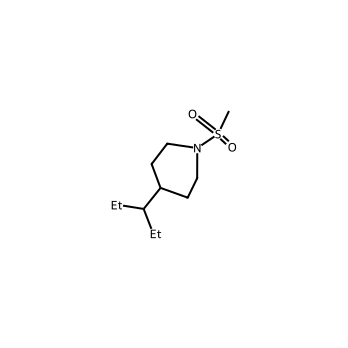 CCC(CC)C1CCN(S(C)(=O)=O)CC1